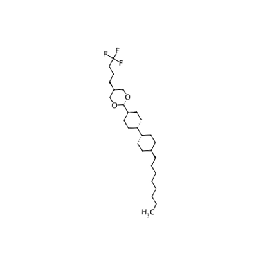 CCCCCCCC[C@H]1CC[C@H]([C@H]2CC[C@H]([C@H]3OC[C@H](CCCC(F)(F)F)CO3)CC2)CC1